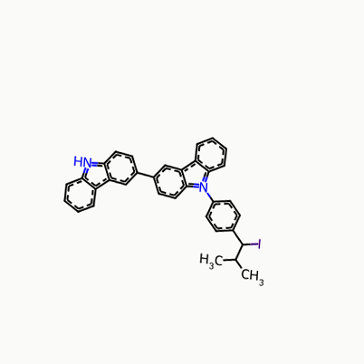 CC(C)C(I)c1ccc(-n2c3ccccc3c3cc(-c4ccc5[nH]c6ccccc6c5c4)ccc32)cc1